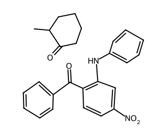 CC1CCCCC1=O.O=C(c1ccccc1)c1ccc([N+](=O)[O-])cc1Nc1ccccc1